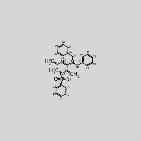 C=C/N=C(\C(=C)N(C)S(=O)(=O)c1ccccc1)N(Cc1ccccc1)Cc1ccccc1